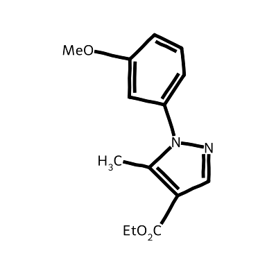 CCOC(=O)c1cnn(-c2cccc(OC)c2)c1C